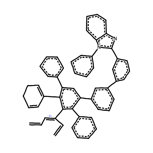 C=C/C=C(\C=C)c1c(C2=CCCC=C2)c(-c2ccccc2)cc(-c2cccc(-c3cccc(-c4nc5ccccc5n4-c4ccccc4)c3)c2)c1-c1ccccc1